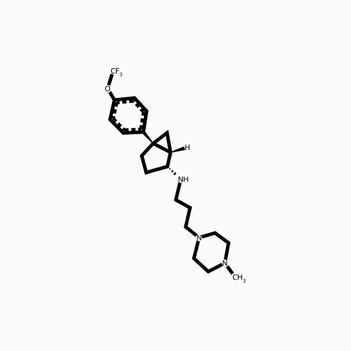 CN1CCN(CCCN[C@@H]2CC[C@]3(c4ccc(OC(F)(F)F)cc4)C[C@H]23)CC1